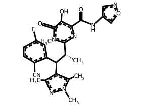 Cc1nn(C)c(C)c1[C@@H](c1cc(F)ccc1C#N)[C@@H](C)c1nc(C(=O)Nc2cnoc2)c(O)c(=O)n1C